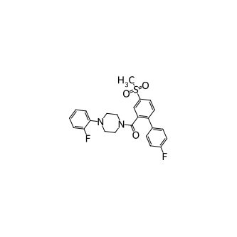 CS(=O)(=O)c1ccc(-c2ccc(F)cc2)c(C(=O)N2CCN(c3ccccc3F)CC2)c1